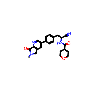 CN1Cc2cc(-c3ccc(CC(C#N)NC(=O)C4CCOCC4)cc3)cnc2C1=O